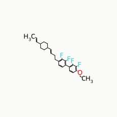 C/C=C/C1CCC(/C=C/CCc2ccc(-c3ccc(OCC)c(F)c3F)c(F)c2F)CC1